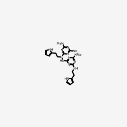 CNc1nc(NCCc2ccc[nH]2)nc(NN(CCc2ccc[nH]2)c2nc(N)nc(NC)n2)n1